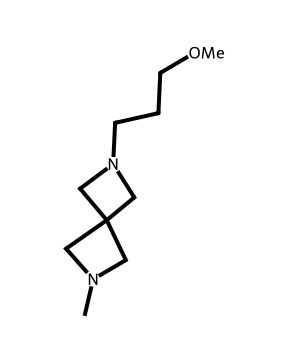 COCCCN1CC2(CN(C)C2)C1